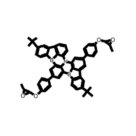 CC1OC1Oc1ccc(-c2cc3c4c(c2)B2c5ccc(C(C)(C)C)cc5-c5cc(-c6ccc(OC7OC7C)cc6)cc(c52)N4c2cccc4c2B3c2ccc(C(C)(C)C)cc2-4)cc1